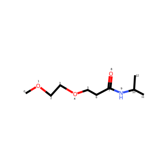 COCCOCCC(=O)NC(C)C